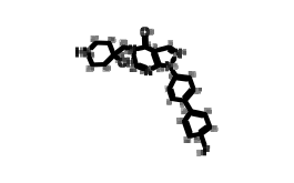 O=c1c2cnn(-c3ccc(-c4ccc(F)cc4)cc3)c2ncn1CC1(O)CCNCC1